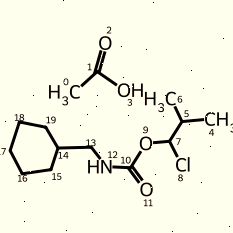 CC(=O)O.CC(C)C(Cl)OC(=O)NCC1CCCCC1